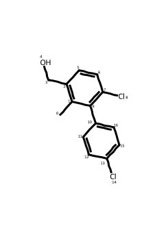 Cc1c(CO)ccc(Cl)c1-c1ccc(Cl)cc1